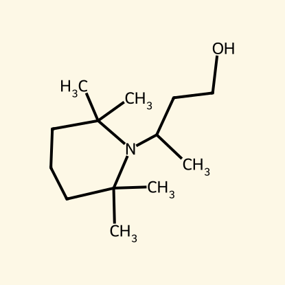 CC(CCO)N1C(C)(C)CCCC1(C)C